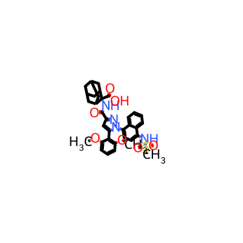 COc1cccc(OC)c1-c1cc(C(=O)NC2(C(=O)O)C3CC4CC(C3)CC2C4)nn1-c1ccc(NS(C)(=O)=O)c2ccccc12